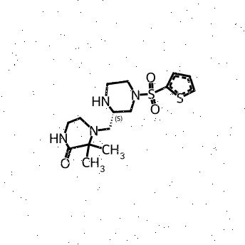 CC1(C)C(=O)NCCN1C[C@H]1CN(S(=O)(=O)c2cccs2)CCN1